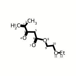 C=C(C)C(=O)CC(=O)OCCOCC